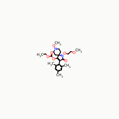 CCOC(=O)OC1=C(c2c(C)cc(C)cc2C)C(=O)N(OCCOC)C12CCN(OC)CC2